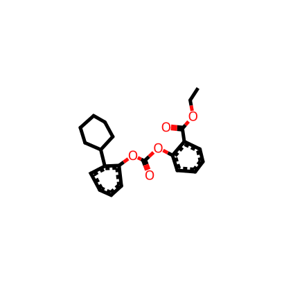 CCOC(=O)c1ccccc1OC(=O)Oc1ccccc1C1CCCCC1